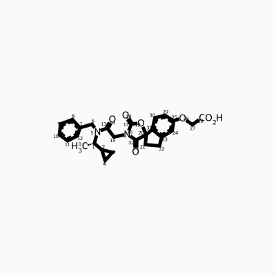 C[C@@H](C1CC1)N(Cc1ccccc1)C(=O)CN1C(=O)OC2(CCc3cc(OCC(=O)O)ccc32)C1=O